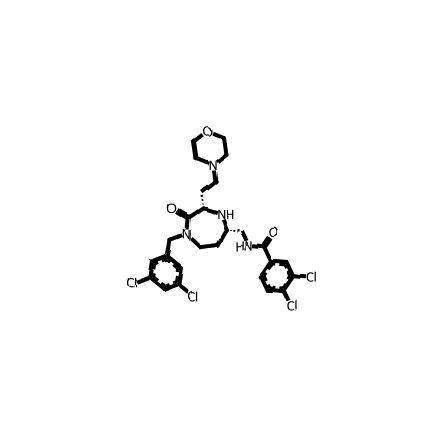 O=C(NC[C@@H]1CCN(Cc2cc(Cl)cc(Cl)c2)C(=O)[C@H](CCN2CCOCC2)N1)c1ccc(Cl)c(Cl)c1